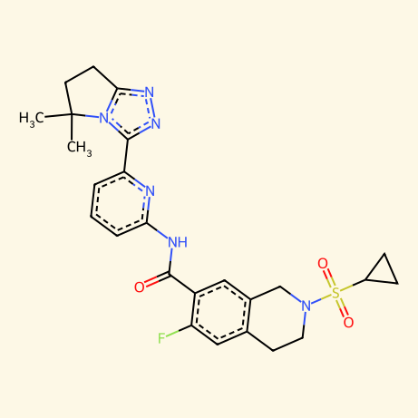 CC1(C)CCc2nnc(-c3cccc(NC(=O)c4cc5c(cc4F)CCN(S(=O)(=O)C4CC4)C5)n3)n21